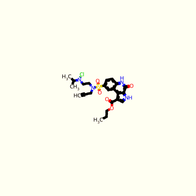 C#CCN(CCN(Cl)C(C)C)S(=O)(=O)c1ccc2[nH]c(=O)c3[nH]cc(C(=O)OCCC)c3c2c1